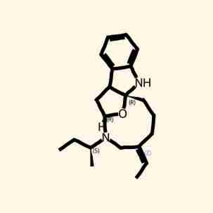 C/C=C1/CCC[C@]23Nc4ccccc4C2C[C@@H](O3)N([C@@H](C)CC)C1